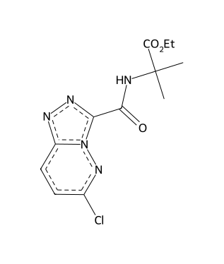 CCOC(=O)C(C)(C)NC(=O)c1nnc2ccc(Cl)nn12